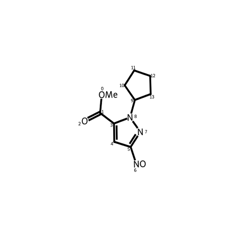 COC(=O)c1cc(N=O)nn1C1CCCC1